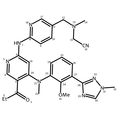 CCC(=O)c1cnc(Nc2ccc(CN(C)CC#N)cn2)cc1N(C)c1cccc(-c2ncn(C)n2)c1OC